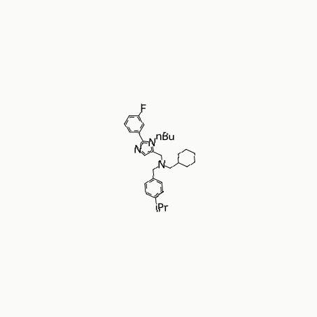 CCCCn1c(CN(Cc2ccc(C(C)C)cc2)CC2CCCCC2)cnc1-c1cccc(F)c1